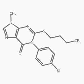 Cn1cnc2c(=O)n(-c3ccc(Cl)cc3)c(SCCCC(F)(F)F)nc21